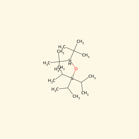 CC(C)[Si](O[SiH](C(C)(C)C)C(C)(C)C)(C(C)C)C(C)C